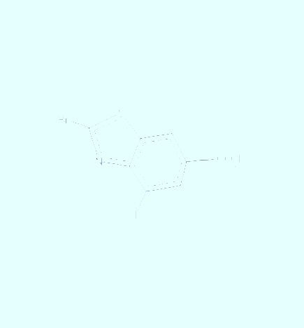 O=C(O)c1cc(Cl)c2nc(Br)sc2c1